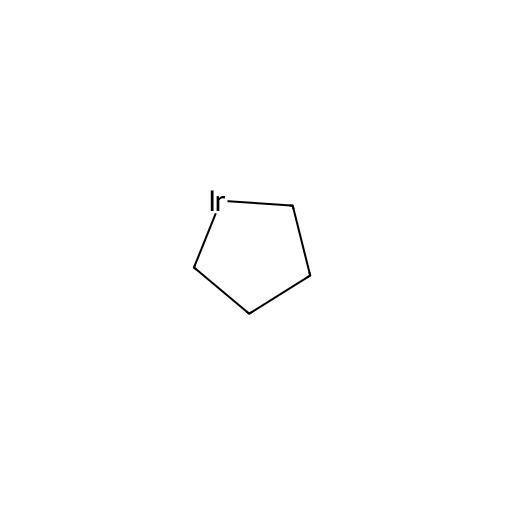 C1C[CH2][Ir][CH2]1